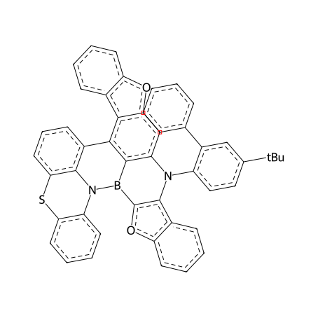 CC(C)(C)c1ccc(N2c3cc4oc5ccccc5c4c4c3B(c3oc5ccccc5c32)N2c3ccccc3Sc3cccc-4c32)c(-c2ccccc2)c1